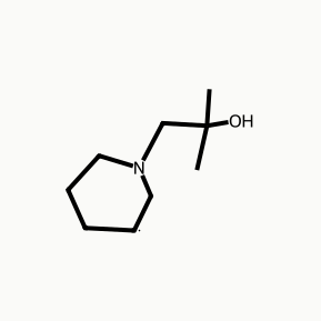 CC(C)(O)CN1C[CH]CCC1